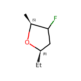 CC[C@@H]1CC(F)[C@H](C)O1